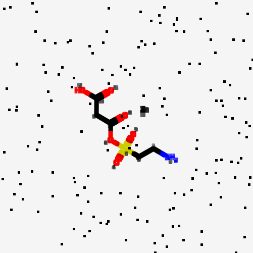 NCCS(=O)(=O)OC(=O)CC(=O)O.[Zn]